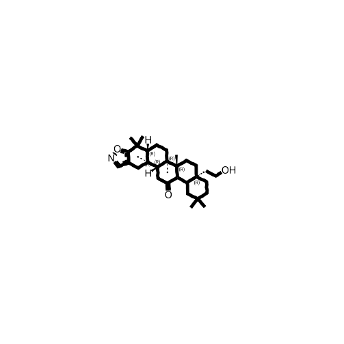 CC1(C)CC[C@]2(CCO)CC[C@]3(C)C(C(=O)C[C@@H]4[C@@]5(C)Cc6cnoc6C(C)(C)[C@@H]5CC[C@]43C)C2C1